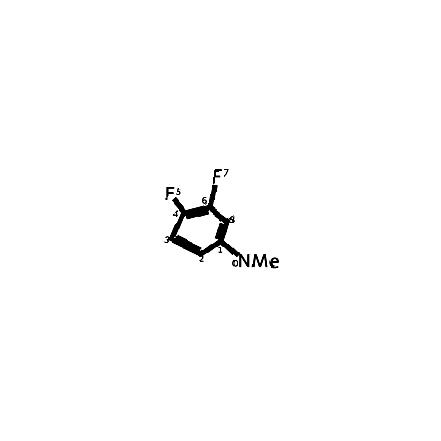 CNc1ccc(F)c(F)c1